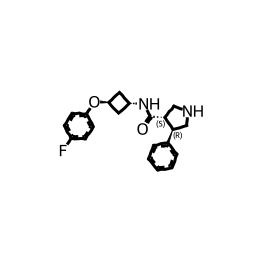 O=C(N[C@H]1C[C@H](Oc2ccc(F)cc2)C1)[C@@H]1CNC[C@H]1c1ccccc1